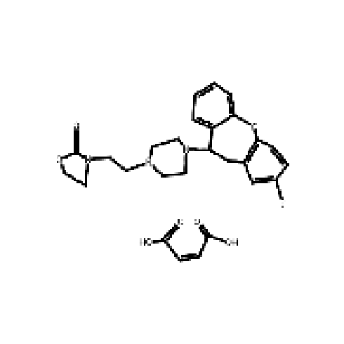 O=C(O)/C=C\C(=O)O.O=C1OCCN1CCN1CCN(C2Cc3cc(Cl)ccc3Oc3ccccc32)CC1